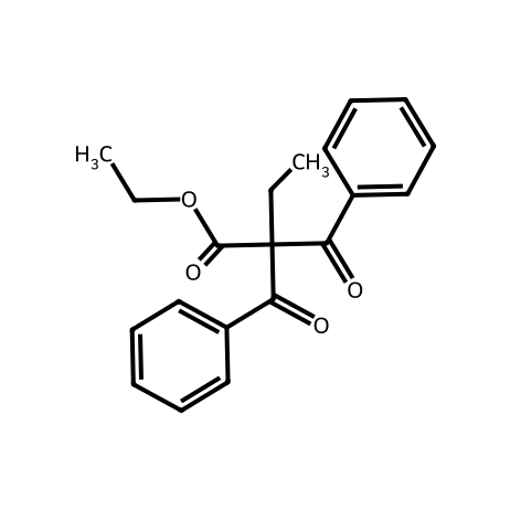 CCOC(=O)C(CC)(C(=O)c1ccccc1)C(=O)c1ccccc1